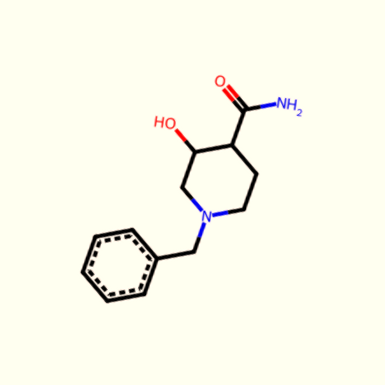 NC(=O)C1CCN(Cc2ccccc2)CC1O